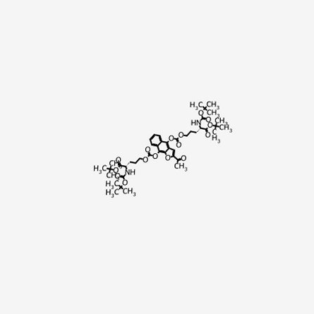 CC(=O)c1cc2c(OC(=O)OCCC[C@H](NC(=O)OC(C)(C)C)C(=O)OC(C)(C)C)c3ccccc3c(OC(=O)OCCC[C@H](NC(=O)OC(C)(C)C)C(=O)OC(C)(C)C)c2o1